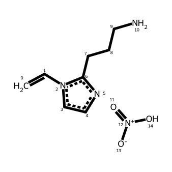 C=Cn1ccnc1CCCN.O=[N+]([O-])O